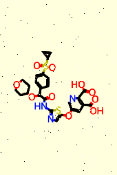 O=C(O)c1cc(Oc2cnc(NC(=O)C(OC3CCOCC3)c3ccc(S(=O)(=O)C4CC4)cc3)s2)cnc1C(=O)O